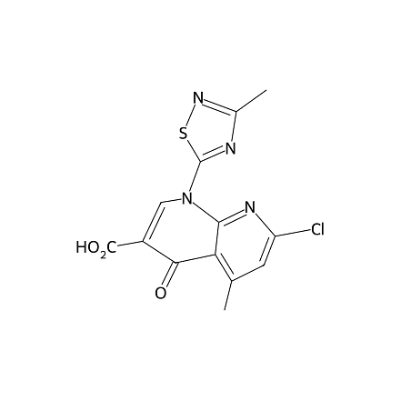 Cc1nsc(-n2cc(C(=O)O)c(=O)c3c(C)cc(Cl)nc32)n1